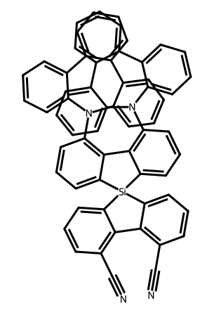 N#Cc1cccc2c1-c1c(C#N)cccc1[Si]21c2cccc(N3c4ccccc4-c4ccccc4-c4ccccc43)c2-c2c(N3c4ccccc4-c4ccccc4-c4ccccc43)cccc21